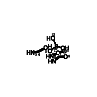 N=C=O.N=C=O.N=C=O.OB(O)O